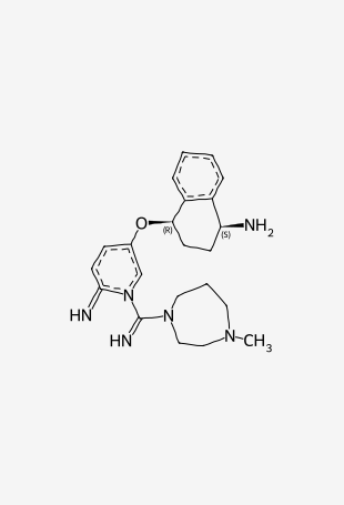 CN1CCCN(C(=N)n2cc(O[C@@H]3CC[C@H](N)c4ccccc43)ccc2=N)CC1